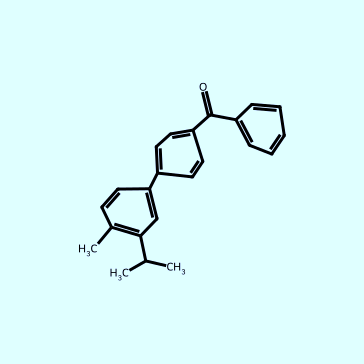 Cc1ccc(-c2ccc(C(=O)c3ccccc3)cc2)cc1C(C)C